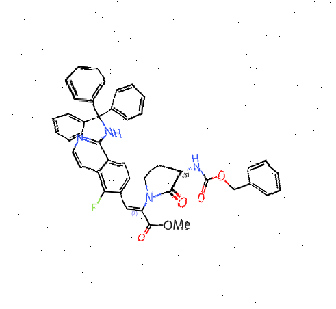 COC(=O)/C(=C/c1ccc2c(NC(c3ccccc3)(c3ccccc3)c3ccccc3)nccc2c1F)N1CC[C@H](NC(=O)OCc2ccccc2)C1=O